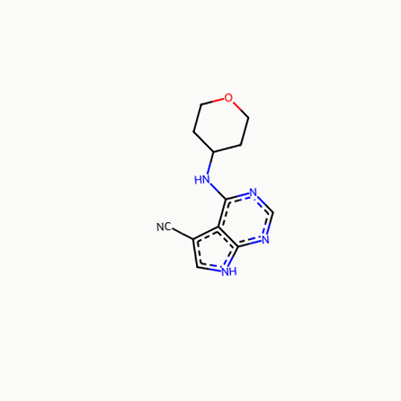 N#Cc1c[nH]c2ncnc(NC3CCOCC3)c12